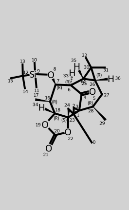 CC1=CC23C(=O)[C@@H]([C@H](O[Si](C)(C)C(C)(C)C)[C@H](C)[C@H]4OC(=O)O[C@]42C1)[C@H]1[C@@H](C[C@H]3C)C1(C)C